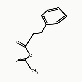 NC(=S)OC(=O)CCc1ccccc1